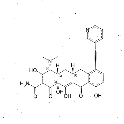 CN(C)[C@H]1C(O)=C(C(N)=O)C(=O)[C@@]2(O)C(O)=C3C(=O)c4c(O)ccc(C#Cc5cccnc5)c4C[C@H]3C[C@@H]12